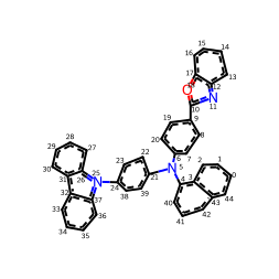 c1ccc2c(N(c3ccc(-c4nc5ccccc5o4)cc3)c3ccc(-n4c5ccccc5c5ccccc54)cc3)cccc2c1